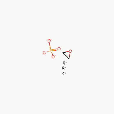 C1CO1.O=P([O-])([O-])[O-].[K+].[K+].[K+]